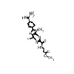 COC(=O)CCNC(=O)c1nc(Cl)c2nc(-c3ccc(C(=N)N)cc3)n(C)c2n1